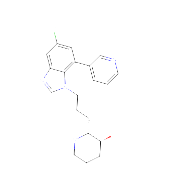 Cl.Cl.Cl.O[C@H]1CCCN[C@@H]1CCCn1cnc2cc(Cl)cc(-c3cccnc3)c21